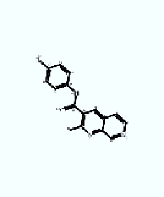 Cc1nc2cnccc2cc1C(=O)Nc1ccc(Cl)cc1